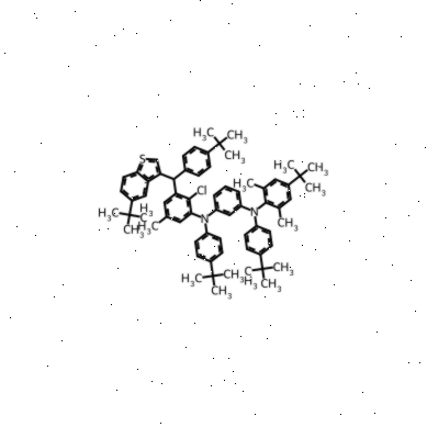 Cc1cc(C(c2ccc(C(C)(C)C)cc2)c2csc3ccc(C(C)(C)C)cc23)c(Cl)c(N(c2ccc(C(C)(C)C)cc2)c2cccc(N(c3ccc(C(C)(C)C)cc3)c3c(C)cc(C(C)(C)C)cc3C)c2)c1